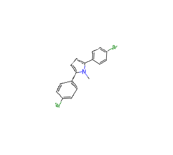 Cn1c(-c2ccc(Br)cc2)ccc1-c1ccc(Br)cc1